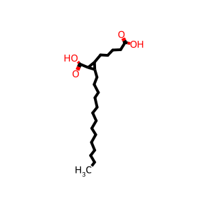 CCCCCCCCCCCCCCC1C(CCCCC(=O)O)C1C(=O)O